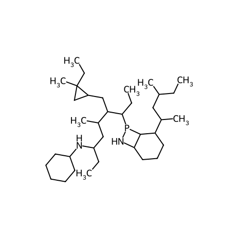 CCC(C)CC(C)C1CCCC2NP(C(CC)C(CC3CC3(C)CC)C(C)CC(CC)NC3CCCCC3)C21